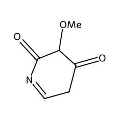 COC1C(=O)CC=NC1=O